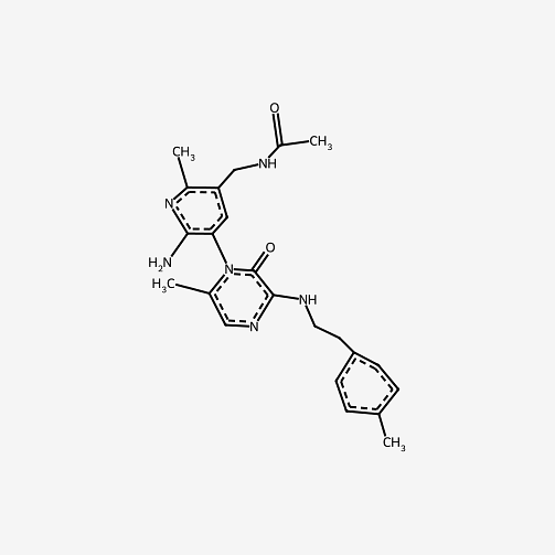 CC(=O)NCc1cc(-n2c(C)cnc(NCCc3ccc(C)cc3)c2=O)c(N)nc1C